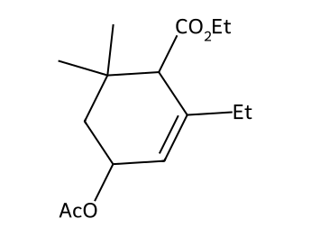 CCOC(=O)C1C(CC)=CC(OC(C)=O)CC1(C)C